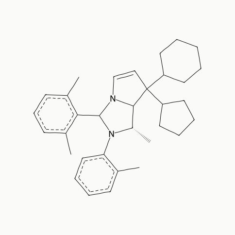 Cc1ccccc1N1C(c2c(C)cccc2C)N2C=CC(C3CCCCC3)(C3CCCC3)C2[C@@H]1C